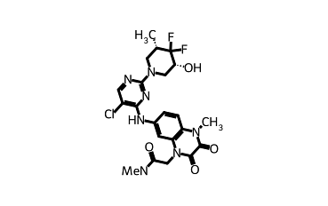 CNC(=O)Cn1c(=O)c(=O)n(C)c2ccc(Nc3nc(N4C[C@@H](O)C(F)(F)[C@@H](C)C4)ncc3Cl)cc21